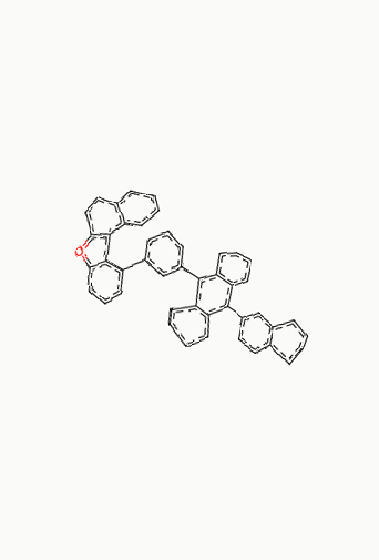 c1cc(-c2c3ccccc3c(-c3ccc4ccccc4c3)c3ccccc23)cc(-c2cccc3oc4ccc5ccccc5c4c23)c1